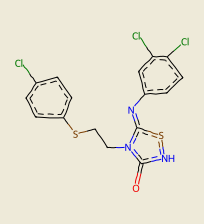 O=c1[nH]s/c(=N\c2ccc(Cl)c(Cl)c2)n1CCSc1ccc(Cl)cc1